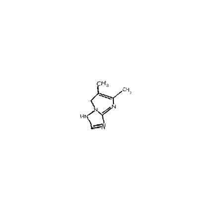 CC1=C(C)N=C2N=CNN2[CH]1